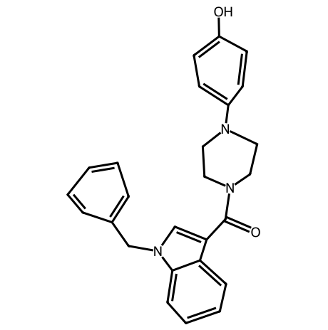 O=C(c1cn(Cc2ccccc2)c2ccccc12)N1CCN(c2ccc(O)cc2)CC1